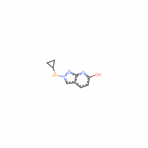 Oc1ccc2cn(PC3CC3)nc2n1